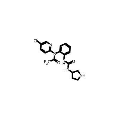 O=C(Nc1ccccc1N(C(=O)C(F)(F)F)c1ccc(Cl)cn1)NC1CCNC1